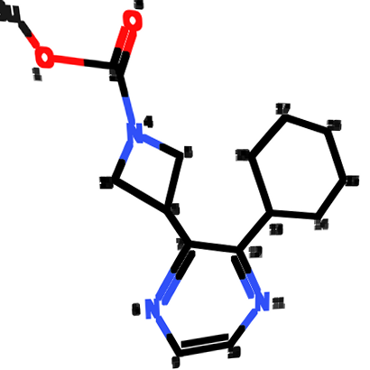 CC(C)(C)OC(=O)N1CC(c2nccnc2C2CCCCC2)C1